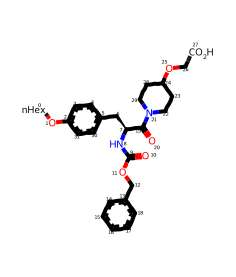 CCCCCCOc1ccc(C[C@H](NC(=O)OCc2ccccc2)C(=O)N2CCC(OCC(=O)O)CC2)cc1